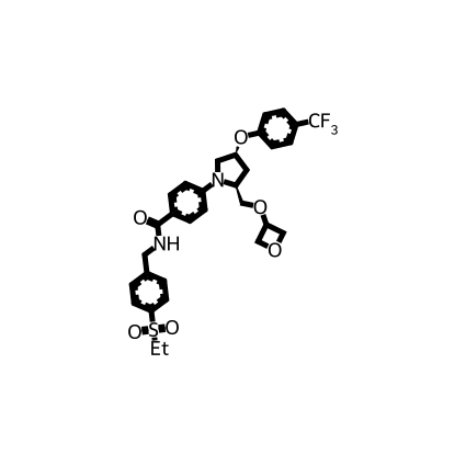 CCS(=O)(=O)c1ccc(CNC(=O)c2ccc(N3C[C@H](Oc4ccc(C(F)(F)F)cc4)C[C@H]3COC3COC3)cc2)cc1